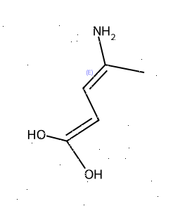 C/C(N)=C\C=C(O)O